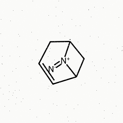 [N-]=[N+]1[C]2CC=CC1C2